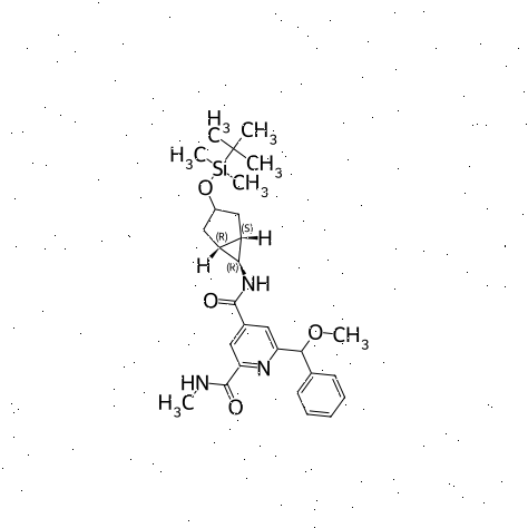 CNC(=O)c1cc(C(=O)N[C@H]2[C@@H]3CC(O[Si](C)(C)C(C)(C)C)C[C@@H]32)cc(C(OC)c2ccccc2)n1